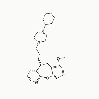 COc1cccc2c1CC(=CCCN1CCN(C3CCCCC3)CC1)c1cccnc1O2